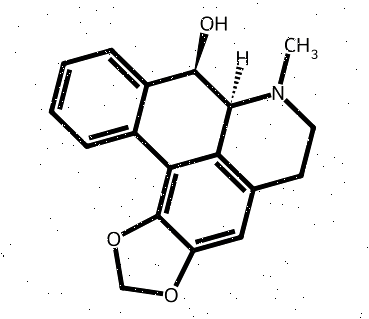 CN1CCc2cc3c(c4c2[C@H]1[C@H](O)c1ccccc1-4)OCO3